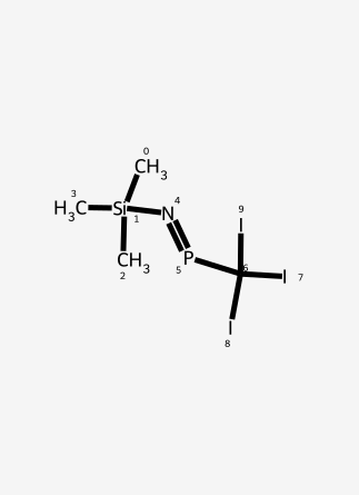 C[Si](C)(C)N=PC(I)(I)I